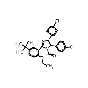 CCOc1ccc(C(C)(C)C)cc1C1=N[C@@H](c2ccc(Cl)cc2)[C@@H](c2ccc(Cl)cc2)N1[C]=O